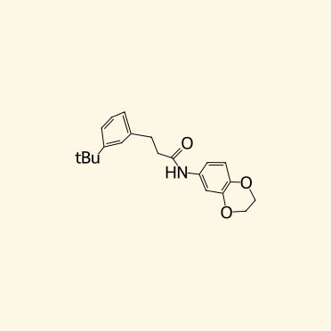 CC(C)(C)c1cccc(CCC(=O)Nc2ccc3c(c2)OCCO3)c1